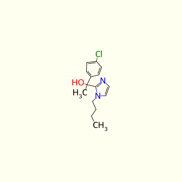 CCCCn1ccnc1C(C)(O)c1ccc(Cl)cc1